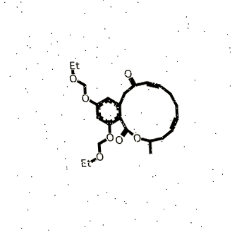 CCOCOc1cc2c(c(OCOCC)c1)C(=O)OC(C)CC=CCCC=CC(=O)C2